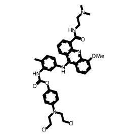 COc1cccc2c(Nc3ccc(C)c(NC(=O)Oc4ccc(N(CCCl)CCCl)cc4)c3)c3cccc(C(=O)NCCN(C)C)c3nc12